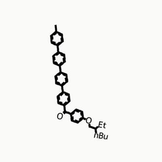 CCCCC(CC)COc1ccc(C(=O)c2ccc(-c3ccc(-c4ccc(-c5ccc(C)cc5)cc4)cc3)cc2)cc1